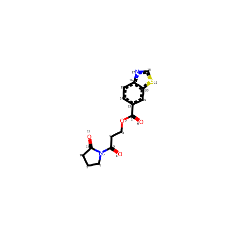 O=C(OCCC(=O)N1CCCC1=O)c1ccc2ncsc2c1